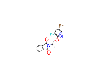 C[C@@H](COc1ncc(Br)cc1F)N1C(=O)c2ccccc2C1=O